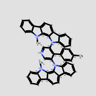 Cn1c2ccccc2c2ccc3c4ccccc4n(-c4cncc(-n5c6ccccc6c6ccc7c8ccccc8n(C)c7c65)c4-c4ccc(C#N)cc4)c3c21